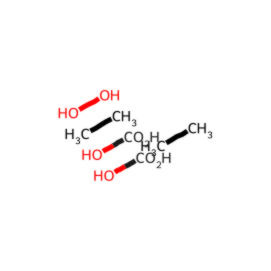 CC.CC.O=C(O)O.O=C(O)O.OO